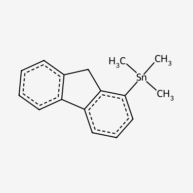 [CH3][Sn]([CH3])([CH3])[c]1cccc2c1Cc1ccccc1-2